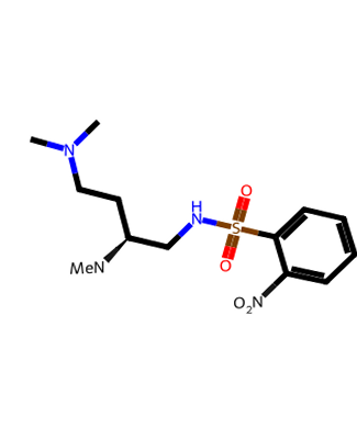 CN[C@@H](CCN(C)C)CNS(=O)(=O)c1ccccc1[N+](=O)[O-]